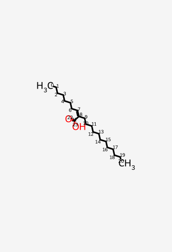 CCCCCCCC=C(CCCCCCCCCCCC)C(=O)O